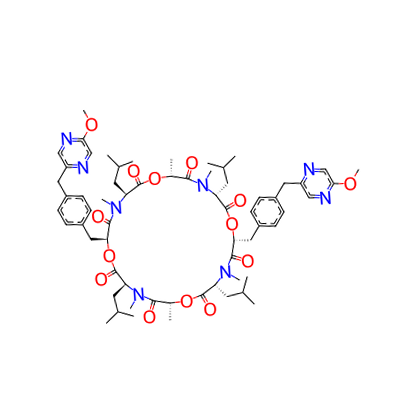 COc1cnc(Cc2ccc(C[C@@H]3OC(=O)[C@H](CC(C)C)N(C)C(=O)[C@@H](C)OC(=O)[C@@H](CC(C)C)N(C)C(=O)[C@@H](Cc4ccc(Cc5cnc(OC)cn5)cc4)OC(=O)[C@@H](CC(C)C)N(C)C(=O)[C@@H](C)OC(=O)[C@H](CC(C)C)N(C)C3=O)cc2)cn1